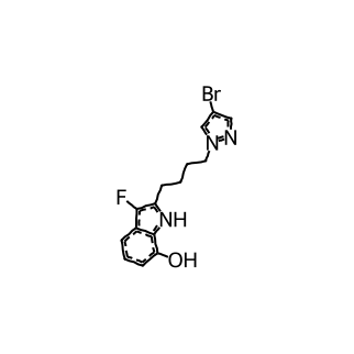 Oc1cccc2c(F)c(CCCCn3cc(Br)cn3)[nH]c12